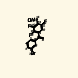 C=C(c1cccc(Br)c1)c1cc(F)c(OC)c(F)c1F